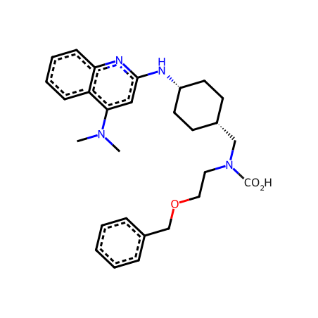 CN(C)c1cc(N[C@H]2CC[C@@H](CN(CCOCc3ccccc3)C(=O)O)CC2)nc2ccccc12